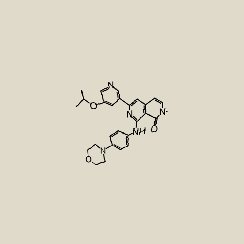 CC(C)Oc1cncc(-c2cc3c(c(Nc4ccc(N5CCOCC5)cc4)n2)C(=O)[N]C=C3)c1